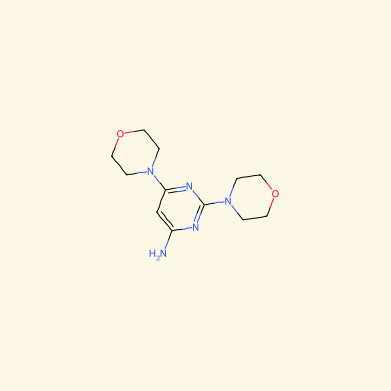 Nc1cc(N2CCOCC2)nc(N2CCOCC2)n1